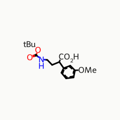 COc1cccc(C(CCNC(=O)OC(C)(C)C)C(=O)O)c1